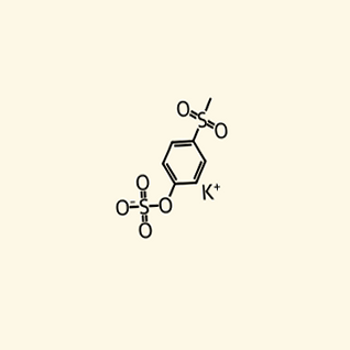 CS(=O)(=O)c1ccc(OS(=O)(=O)[O-])cc1.[K+]